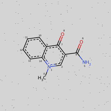 Cn1cc(C(N)=O)c(=O)c2ccccc21